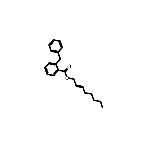 CCCCCC=CCOC(=O)c1ccccc1Cc1ccccc1